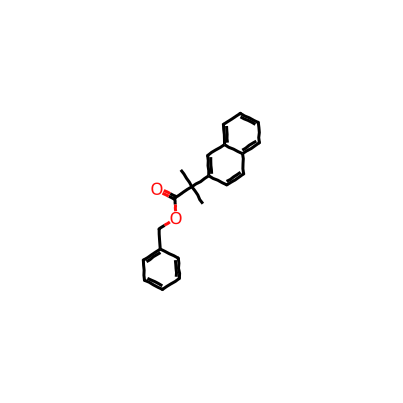 CC(C)(C(=O)OCc1ccccc1)c1ccc2ccccc2c1